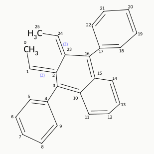 C/C=c1/c(-c2ccccc2)c2ccccc2c(-c2ccccc2)/c1=C/C